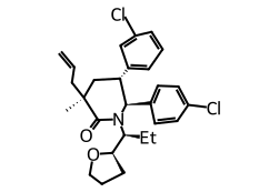 C=CC[C@@]1(C)C[C@H](c2cccc(Cl)c2)[C@@H](c2ccc(Cl)cc2)N([C@@H](CC)[C@H]2CCCO2)C1=O